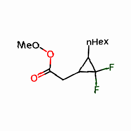 CCCCCCC1C(CC(=O)OOC)C1(F)F